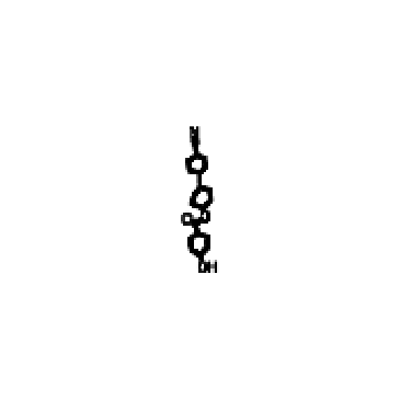 N#CC1CCC(C2CCC(OC(=O)C3CCC(O)CC3)CC2)CC1